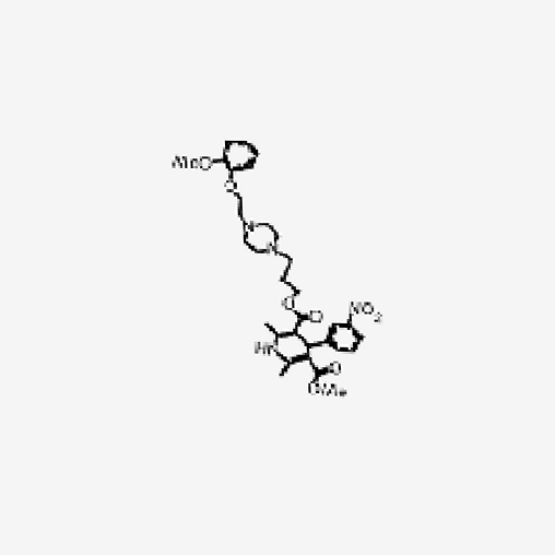 COC(=O)C1=C(C)NC(C)=C(C(=O)OCCCN2CCN(CCOc3ccccc3OC)CC2)C1c1cccc([N+](=O)[O-])c1